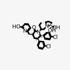 CCC(CN1CCCS1(O)O)N1C(=O)[C@H](Cc2cccc(O)n2)C[C@H](c2cccc(Cl)c2)[C@H]1c1ccc(Cl)cc1